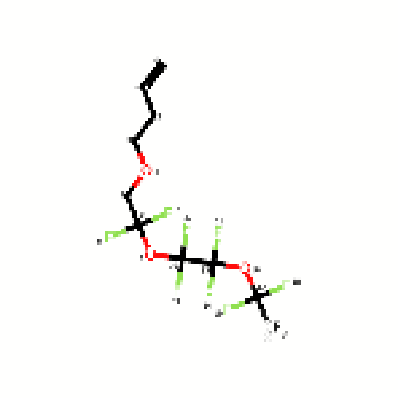 C=CCCOCC(F)(F)OC(F)(F)C(F)(F)OC(F)(F)C(F)(F)F